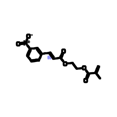 C=C(C)C(=O)OCCOC(=O)/C=C/c1cccc([N+](=O)[O-])c1